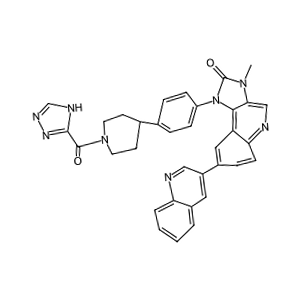 Cn1c(=O)n(-c2ccc(C3CCN(C(=O)c4nnc[nH]4)CC3)cc2)c2c3cc(-c4cnc5ccccc5c4)ccc3ncc21